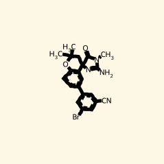 CN1C(=O)C2(CC(C)(C)Oc3ccc(-c4cc(Br)cc(C#N)c4)cc32)N=C1N